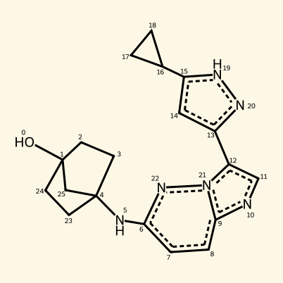 OC12CCC(Nc3ccc4ncc(-c5cc(C6CC6)[nH]n5)n4n3)(CC1)C2